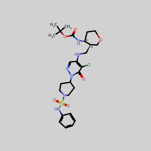 CC(C)(C)OC(=O)N[C@H]1CCOC[C@H]1CNc1cnn(C2CCN(S(=O)(=O)Nc3ccccc3)CC2)c(=O)c1Cl